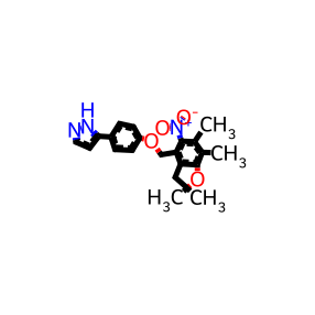 Cc1c(C)c([N+](=O)[O-])c(COc2ccc(-c3ccn[nH]3)cc2)c2c1OC(C)(C)C2